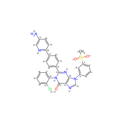 CS(=O)(=O)c1cccc(-n2cnc3c(=O)n(-c4ccccc4Cl)c(-c4ccc(-c5ccc(N)cn5)cc4)nc32)c1